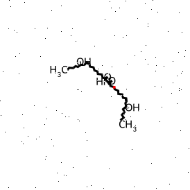 CCCCCC[C@@H](O)C/C=C\CCCCCCCC(=O)NC(=O)CCCCCCC/C=C\C[C@H](O)CCCCCC